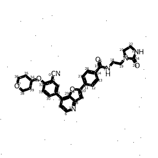 N#Cc1cc(-c2ccnc3cc(-c4ccc(C(=O)NCCN5CCNC5=O)cc4)oc23)ccc1OC1CCOCC1